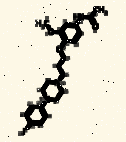 COc1cc(NC(C)=O)ccc1OCCCN1CCN(c2ccc(F)cc2)CC1